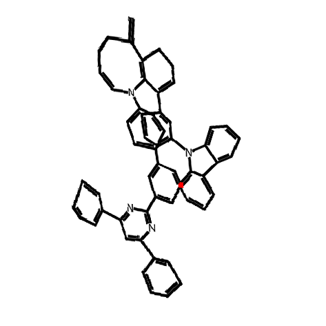 C=C1CC/C=C\N(c2ccc(-c3cccc(-c4nc(-c5ccccc5)cc(-c5ccccc5)n4)c3)cc2)C2=C1CCC=C2c1cccc(-n2c3ccccc3c3ccccc32)c1